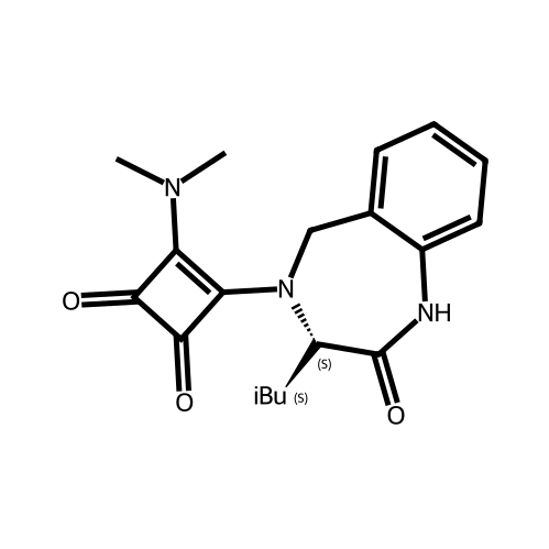 CC[C@H](C)[C@H]1C(=O)Nc2ccccc2CN1c1c(N(C)C)c(=O)c1=O